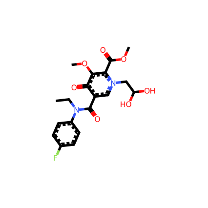 CCN(C(=O)c1cn(CC(O)O)c(C(=O)OC)c(OC)c1=O)c1ccc(F)cc1